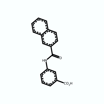 O=C(O)c1cccc(NC(=O)c2ccc3ccccc3c2)c1